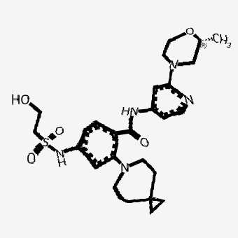 C[C@@H]1CN(c2cc(NC(=O)c3ccc(NS(=O)(=O)CCO)cc3N3CCC4(CC3)CC4)ccn2)CCO1